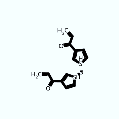 C=CC(=O)C1=C[SH](S[SH]2C=CC(C(=O)C=C)=C2)C=C1